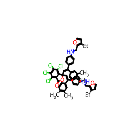 CCc1ccoc1CNc1ccc(/C(=C/C2(/C=C(/c3ccc(NCc4occc4CC)cc3)c3ccc(C)c(C)c3)OC(=O)c3c(Cl)c(Cl)c(Cl)c(Cl)c32)c2ccc(C)c(C)c2)cc1